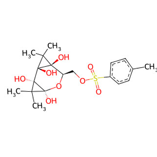 Cc1ccc(S(=O)(=O)OC[C@H]2O[C@@]3(O)C(C)(C)[C@@]3(O)[C@]3(O)C(C)(C)[C@]23O)cc1